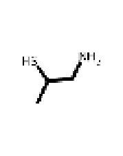 CC(S)CN